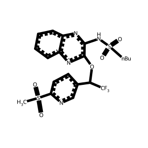 CCCCS(=O)(=O)Nc1nc2ccccc2nc1OC(c1ccc(S(C)(=O)=O)nc1)C(F)(F)F